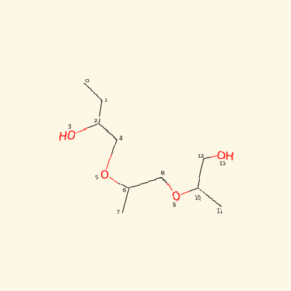 CCC(O)COC(C)COC(C)CO